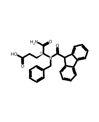 NC(=O)[C@H](CCC(=O)O)N(Cc1ccccc1)C(=O)C1c2ccccc2-c2ccccc21